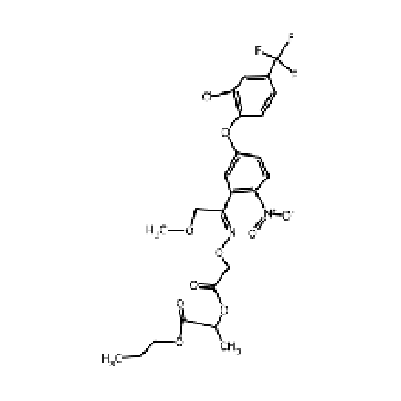 CCCOC(=O)C(C)OC(=O)CON=C(COC)c1cc(Oc2ccc(C(F)(F)F)cc2Cl)ccc1[N+](=O)[O-]